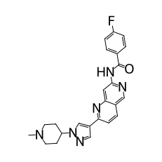 CN1CCC(n2cc(-c3ccc4cnc(NC(=O)c5ccc(F)cc5)cc4n3)cn2)CC1